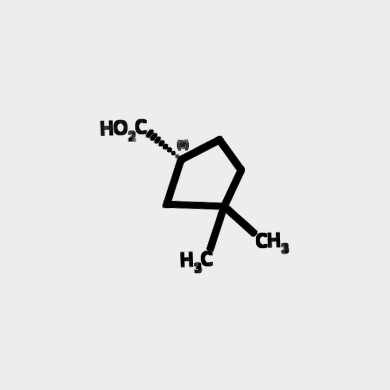 CC1(C)CC[C@@H](C(=O)O)C1